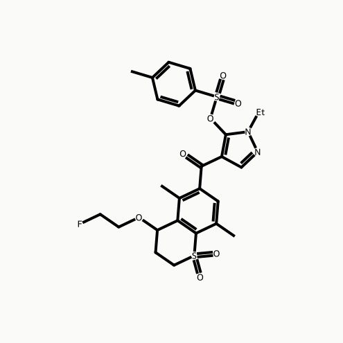 CCn1ncc(C(=O)c2cc(C)c3c(c2C)C(OCCF)CCS3(=O)=O)c1OS(=O)(=O)c1ccc(C)cc1